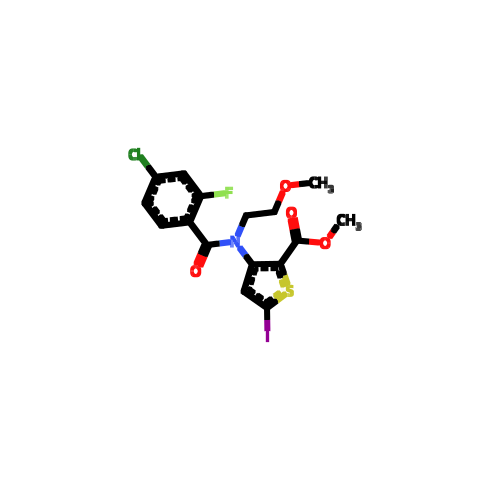 COCCN(C(=O)c1ccc(Cl)cc1F)c1cc(I)sc1C(=O)OC